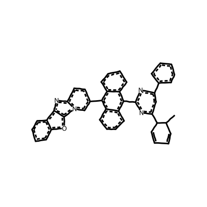 CC1C=CC=CC1c1cc(-c2ccccc2)nc(-c2c3ccccc3c(-c3ccc4nc5c6ccccc6oc5n4c3)c3ccccc23)n1